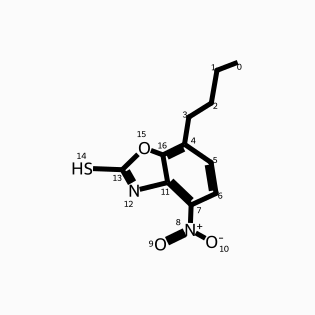 CCCCc1ccc([N+](=O)[O-])c2nc(S)oc12